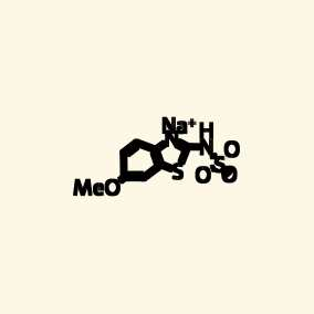 COc1ccc2nc(NS(=O)(=O)[O-])sc2c1.[Na+]